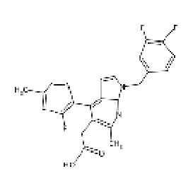 Cc1ccc(-c2c(CC(=O)O)c(C)nc3c2ccn3Cc2ccc(F)c(F)c2)c(F)c1